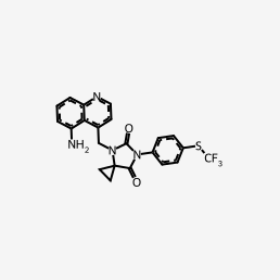 Nc1cccc2nccc(CN3C(=O)N(c4ccc(SC(F)(F)F)cc4)C(=O)C34CC4)c12